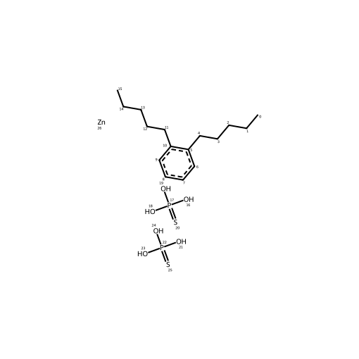 CCCCCc1ccccc1CCCCC.OP(O)(O)=S.OP(O)(O)=S.[Zn]